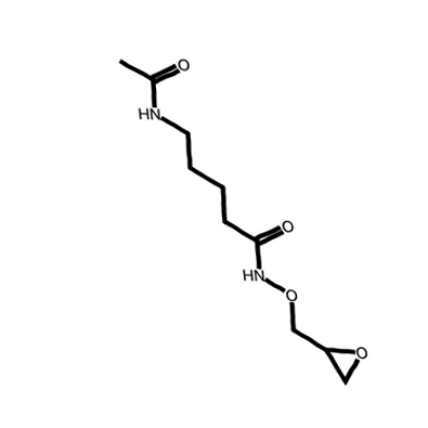 CC(=O)NCCCCC(=O)NOCC1CO1